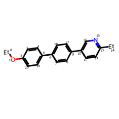 CCOc1ccc(-c2ccc(-c3ccc(CC)nc3)cc2)cc1